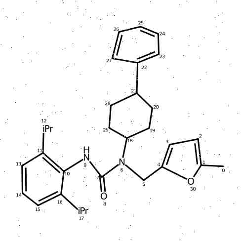 Cc1ccc(CN(C(=O)Nc2c(C(C)C)cccc2C(C)C)C2CCC(c3ccccc3)CC2)o1